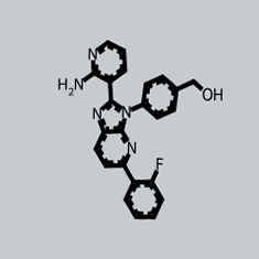 Nc1ncccc1-c1nc2ccc(-c3ccccc3F)nc2n1-c1ccc(CO)cc1